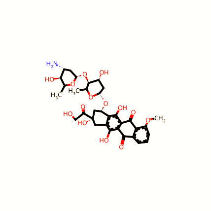 COc1cccc2c1C(=O)c1c(O)c3c(c(O)c1C2=O)C[C@@](O)(C(=O)CO)C[C@@H]3O[C@H]1C[C@@H](O)[C@H](O[C@H]2C[C@@H](N)[C@H](O)C(C)O2)C(C)O1